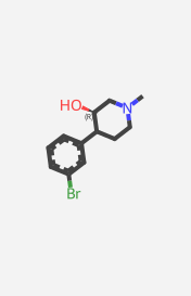 CN1CCC(c2cccc(Br)c2)[C@@H](O)C1